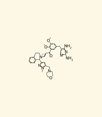 COc1cc(Cc2cnc(N)nc2N)cc(C(=O)/C=C/N2CCc3ccccc3C2c2cc(CN3CCOCC3)n(C)n2)c1OC